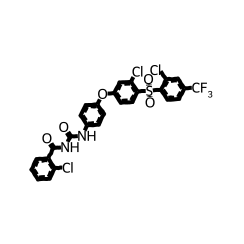 O=C(NC(=O)c1ccccc1Cl)Nc1ccc(Oc2ccc(S(=O)(=O)c3ccc(C(F)(F)F)cc3Cl)c(Cl)c2)cc1